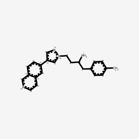 Cc1ccc(CC(N)CCn2cc(-c3ccc4cnccc4c3)cn2)cc1